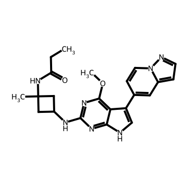 CCC(=O)NC1(C)CC(Nc2nc(OC)c3c(-c4ccn5nccc5c4)c[nH]c3n2)C1